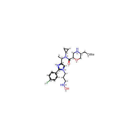 COC[C@H]1CO[C@@H](C(=O)N(C2CC2)[C@H](C)c2cn(CCCNO)c(-c3ccc(F)cc3)n2)CN1